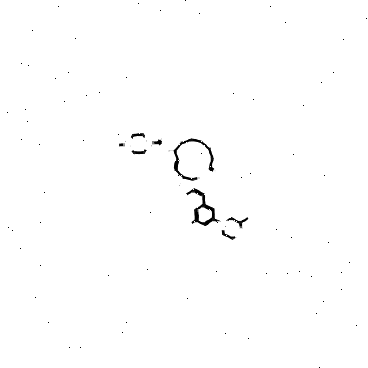 C/C(=C\c1cc(F)cc(N2CCOC(C)C2)c1)[C@H]1OC(=O)C[C@@H](O)CC[C@@H](C)[C@H](OC(=O)N2CCN(C)CC2)/C=C/[C@@H]1C